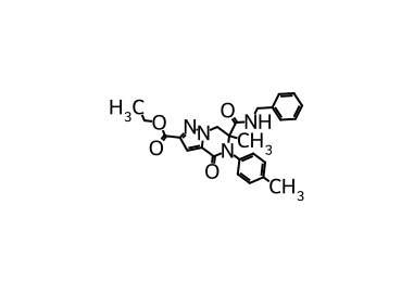 CCOC(=O)c1cc2n(n1)CC(C)(C(=O)NCc1ccccc1)N(c1ccc(C)cc1)C2=O